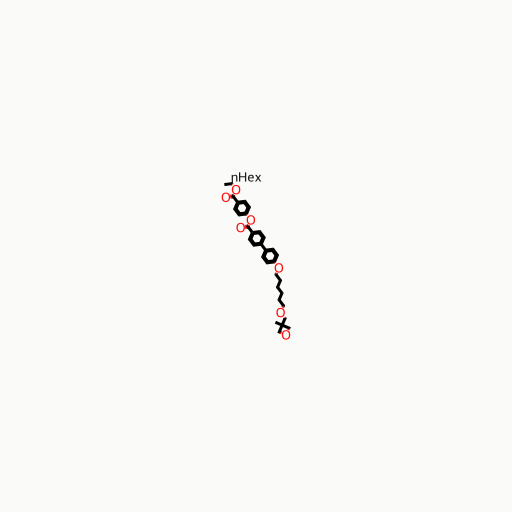 CCCCCC[C@@H](C)OC(=O)c1ccc(OC(=O)c2ccc(-c3ccc(OCCCCCCOCC4(C)COC4)cc3)cc2)cc1